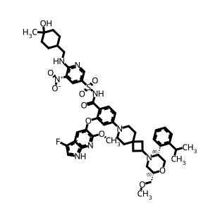 COC[C@@H]1CN(C2CC3(CCN(c4ccc(C(=O)NS(=O)(=O)c5cnc(NCC6CCC(C)(O)CC6)c([N+](=O)[O-])c5)c(Oc5cc6c(F)c[nH]c6nc5OC)c4)CC3)C2)[C@H](c2ccccc2C(C)C)CO1